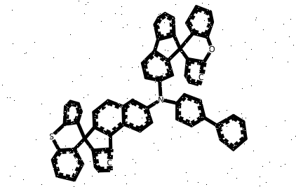 c1ccc(-c2ccc(N(c3ccc4c(c3)C3(c5ccccc5Oc5ccccc53)c3ccccc3-4)c3ccc4c5c(ccc4c3)C3(c4ccccc4Sc4ccccc43)c3ccccc3-5)cc2)cc1